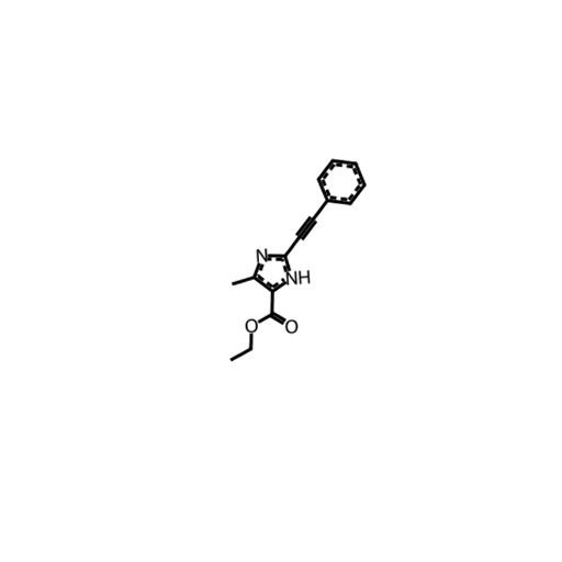 CCOC(=O)c1[nH]c(C#Cc2ccccc2)nc1C